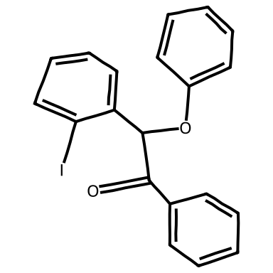 O=C(c1ccccc1)C(Oc1ccccc1)c1ccccc1I